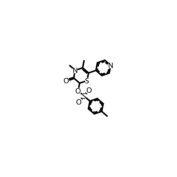 CC1=C(c2ccncc2)SC(OS(=O)(=O)c2ccc(C)cc2)C(=O)N1C